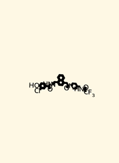 O=C(N/N=C/c1ccc(CC(=O)N2CCC(CNC(=O)C(F)(F)F)CC2)c2ccccc12)c1ccc(O)c(Cl)c1